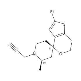 C#CCN1CC[C@]2(C[C@H]1C)OCCc1sc(CC)cc12